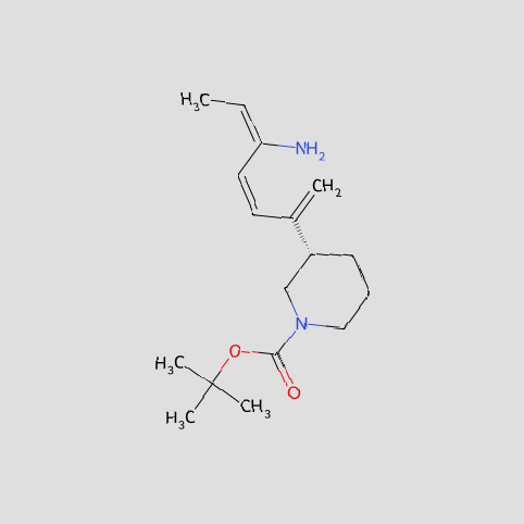 C=C(/C=C\C(N)=C/C)[C@@H]1CCCN(C(=O)OC(C)(C)C)C1